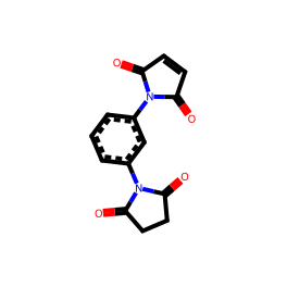 O=C1C=CC(=O)N1c1cccc(N2C(=O)CCC2=O)c1